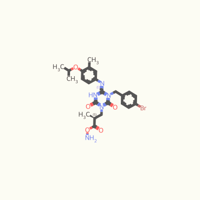 Cc1cc(/N=c2\[nH]c(=O)n(C[C@H](C)C(=O)ON)c(=O)n2Cc2ccc(Br)cc2)ccc1OC(C)C